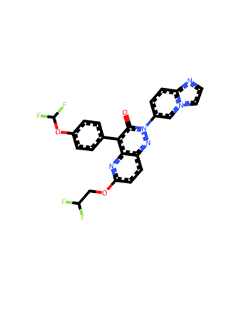 O=c1c(-c2ccc(OC(F)F)cc2)c2nc(OCC(F)F)ccc2nn1-c1ccc2nccn2c1